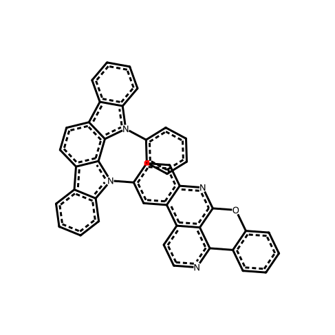 c1ccc(-n2c3ccccc3c3ccc4c5ccccc5n(-c5ccc6nc7c8c(nccc8c6c5)-c5ccccc5O7)c4c32)cc1